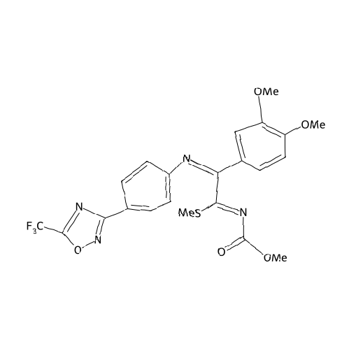 COC(=O)/N=C(\SC)C(=Nc1ccc(-c2noc(C(F)(F)F)n2)cc1)c1ccc(OC)c(OC)c1